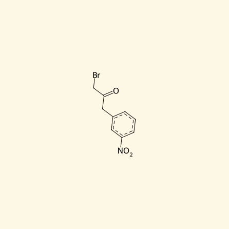 O=C(CBr)Cc1cccc([N+](=O)[O-])c1